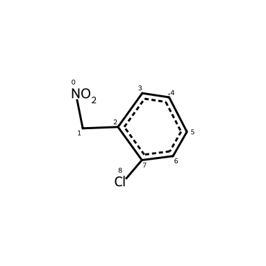 O=[N+]([O-])Cc1c[c]ccc1Cl